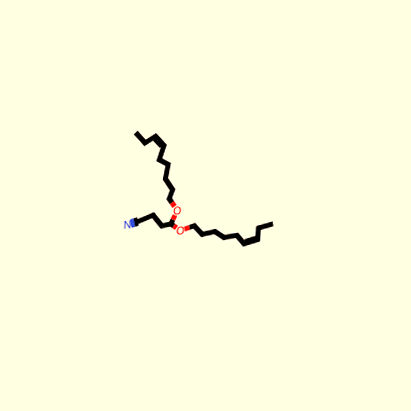 CC/C=C\CCCCCOC(CCC#N)OCCCCC/C=C\CC